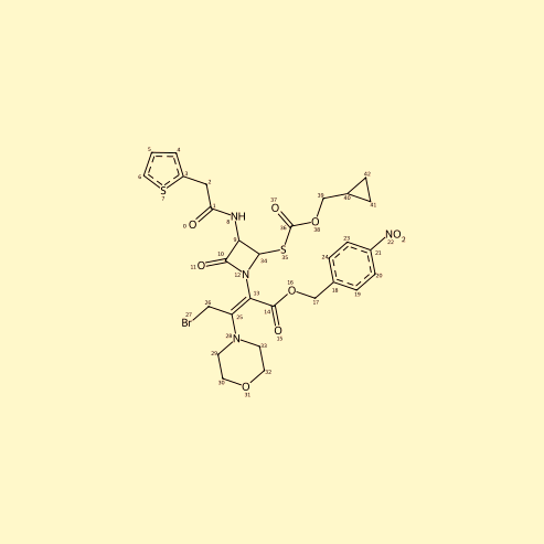 O=C(Cc1cccs1)NC1C(=O)N(C(C(=O)OCc2ccc([N+](=O)[O-])cc2)=C(CBr)N2CCOCC2)C1SC(=O)OCC1CC1